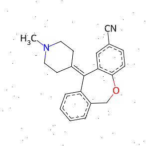 CN1CCC(=C2c3ccccc3COc3ccc(C#N)cc32)CC1